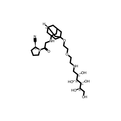 N#C[C@@H]1CCCN1C(=O)CNC12CC3C[C@@H](C1)CC(OCCOCCNC[C@H](O)[C@@H](O)[C@H](O)[C@H](O)CO)(C3)C2